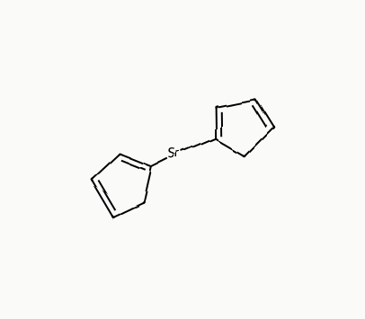 C1=CC[C]([Sr][C]2=CC=CC2)=C1